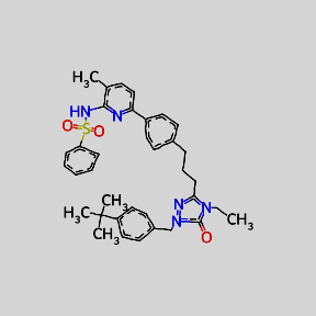 CCn1c(CCCc2ccc(-c3ccc(C)c(NS(=O)(=O)c4ccccc4)n3)cc2)nn(Cc2ccc(C(C)(C)C)cc2)c1=O